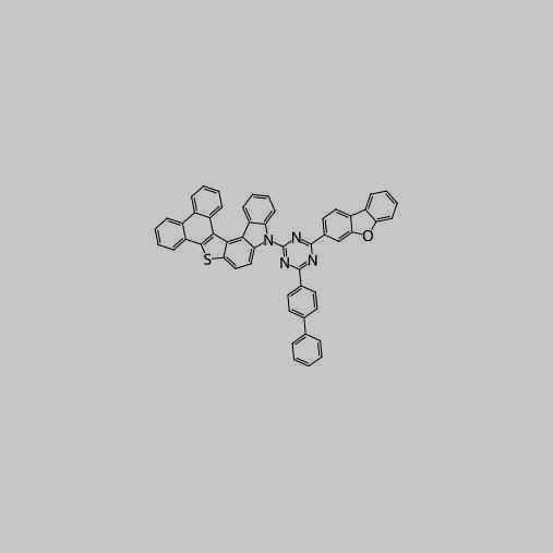 c1ccc(-c2ccc(-c3nc(-c4ccc5c(c4)oc4ccccc45)nc(-n4c5ccccc5c5c6c(ccc54)sc4c5ccccc5c5ccccc5c46)n3)cc2)cc1